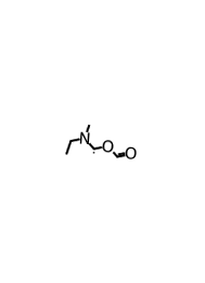 CCN(C)[CH]OC=O